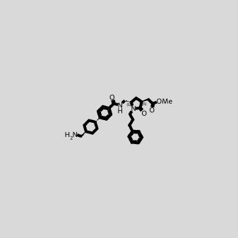 COC(=O)C[C@@H]1C[C@@H](CNC(=O)c2ccc([C@H]3CC[C@H](CN)CC3)cc2)N(CCCc2ccccc2)C1=O